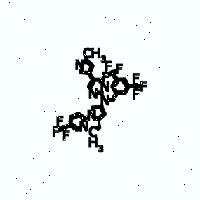 CC[C@@H]1CC(N(Cc2cc(C(F)(F)F)cc(C(F)(F)F)c2)c2ncc(C3C=NC(C)C3)cn2)CN1c1ccc(C(F)(F)F)cn1